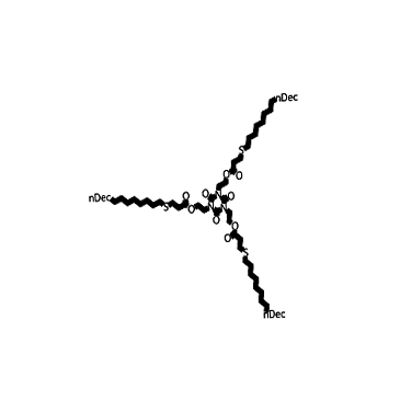 CCCCCCCCCCCCCCCCCCSCCC(=O)OCCn1c(=O)n(CCOC(=O)CCSCCCCCCCCCCCCCCCCCC)c(=O)n(CCOC(=O)CCSCCCCCCCCCCCCCCCCCC)c1=O